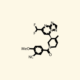 COc1ccc(C(=O)N2CC=C(C)[C@H](c3cc(C(F)F)nc4ncnn34)C2)cc1C#N